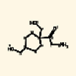 NCC(=O)C1(CO)CCC(CO)CC1